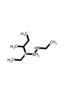 CCN[SiH2]N(CC)C(C)CC